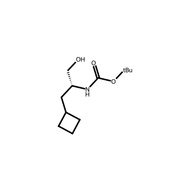 CC(C)(C)OC(=O)N[C@@H](CO)CC1CCC1